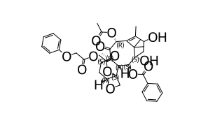 CC(=O)O[C@H]1C(=O)[C@]2(C)[C@@H](OC(=O)COc3ccccc3)C[C@H]3OC[C@@]3(OC(C)=O)[C@H]2[C@H](OC(=O)c2ccccc2)[C@]2(O)CC(O)C(C)=C1C2(C)C